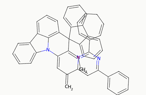 C=C(/C=C1\C(=C/C)C2(c3ccccc3-c3ccccc32)c2cccc3c4ccccc4n1c23)c1cc(-c2ccccc2)nc(C2=CC=CCC=C2)n1